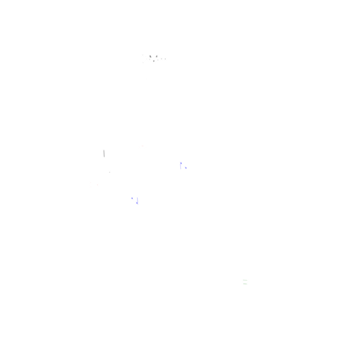 CCC(=O)c1ncc2cc(Cc3ccc(F)cc3)cnc2c1OCc1ccc(OC)cc1